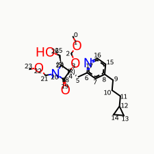 COCO[C@@]1(Cc2cc(CCCC3CC3)ccn2)C(=O)N(COC)[C@H]1CO